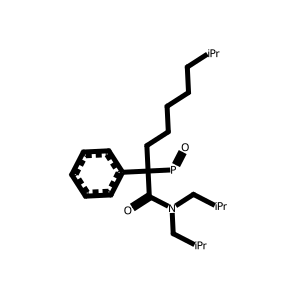 CC(C)CCCCCC(P=O)(C(=O)N(CC(C)C)CC(C)C)c1ccccc1